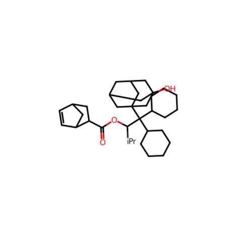 CC(C)C(OC(=O)C1CC2C=CC1C2)C(C1CCCCC1)(C1CCCCC1)C12CC3CC(CC(O)(C3)C1)C2